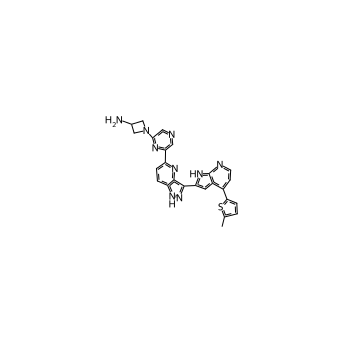 Cc1ccc(-c2ccnc3[nH]c(-c4n[nH]c5ccc(-c6cncc(N7CC(N)C7)n6)nc45)cc23)s1